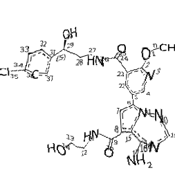 COc1ncc(-c2cc(C(=O)NCCO)c3c(N)ncnn23)cc1C(=O)NCC[C@H](O)c1ccc(Cl)cc1